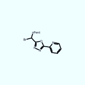 CCCCCC(Br)c1nnc(-c2ccccn2)o1